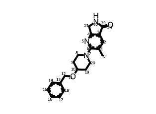 Cc1cc2c(nc1N1CCC(OCc3ccccc3)CC1)CNC2=O